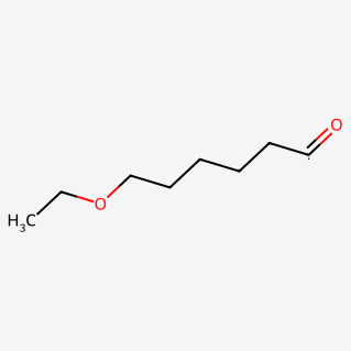 CCOCCCCC[C]=O